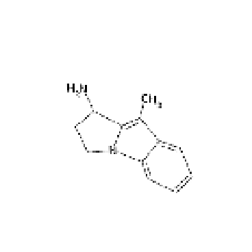 Cc1c2n(c3ccccc13)CCC2N